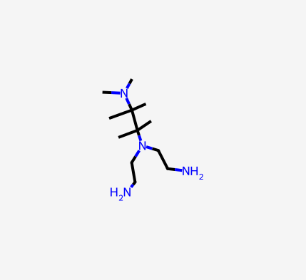 CN(C)C(C)(C)C(C)(C)N(CCN)CCN